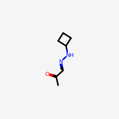 CC(=O)/C=N/NC1CCC1